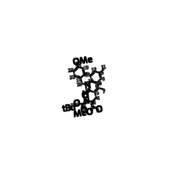 COC(=O)[C@H](Cc1c(C)c2cc(C)ccc2n(Cc2ccc(OC)cc2)c1=O)NC(=O)OC(C)(C)C